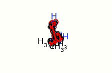 Cc1c(-c2ccc(N3CCc4cccc(C(=O)Nc5nc6ccccc6s5)c4C3)nc2C(=O)NCCOCCOCCOCCCc2cccc3c2C(=O)N(C2CCC(=O)NC2=O)C3=O)cnn1CC12CC(C)CC(CC(C)C1)C2